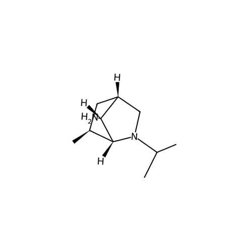 CC(C)N1C[C@H]2C[C@H](C)[C@@H]1[C@@H]2N